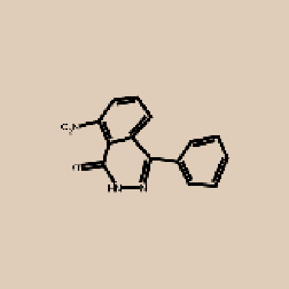 O=c1[nH]nc(-c2ccccc2)c2cccc([N+](=O)[O-])c12